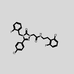 O=C(Cn1nc(-c2ccc(Cl)cc2)n(Cc2ccccc2F)c1=O)NCCc1c(F)cccc1Cl